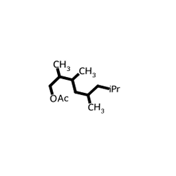 CC(=O)OCC(C)C(C)CC(C)CC(C)C